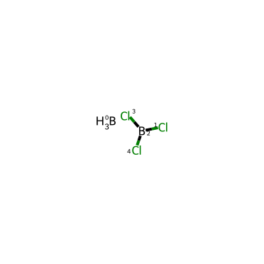 B.ClB(Cl)Cl